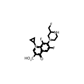 O=C(O)c1cn(C2CC2)c2c(F)c(N3CCNC(CF)C3)c(F)cc2c1=O